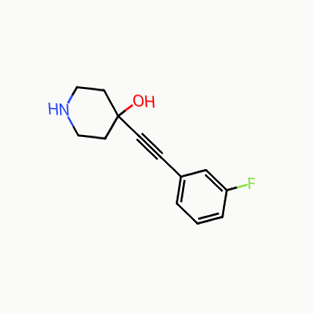 OC1(C#Cc2cccc(F)c2)CCNCC1